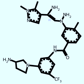 Cc1ccc(C(=O)Nc2cc(N3CCC(N)C3)cc(C(F)(F)F)c2)cc1N(N)/C=C(\N)c1cnn(C)c1C